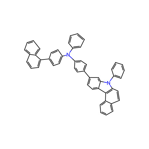 c1ccc(N(c2ccc(-c3ccc4c5c6ccccc6ccc5n(-c5ccccc5)c4c3)cc2)c2ccc(-c3cccc4ccccc34)cc2)cc1